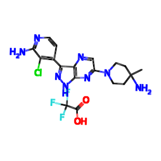 CC1(N)CCN(c2cnc3c(-c4ccnc(N)c4Cl)n[nH]c3n2)CC1.O=C(O)C(F)(F)F